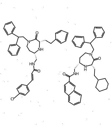 O=C(/C=C/c1ccc(Cl)cc1)NC[C@@H]1CCN(CC(c2ccccc2)c2ccccc2)C(=O)[C@H](CCc2ccccc2)N1.O=C(NC[C@@H]1CCN(CC(c2ccccc2)c2ccccc2)C(=O)[C@H](CCC2CCCCC2)N1)c1ccc2ccccc2c1